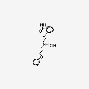 Cl.NC(=O)c1ccccc1OCCNCCCOc1ccccc1